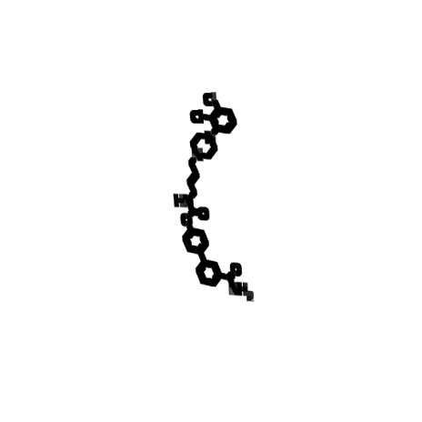 NC(=O)c1cccc(-c2ccc(OC(=O)NCC=CCN3CCN(c4cccc(Cl)c4Cl)CC3)cc2)c1